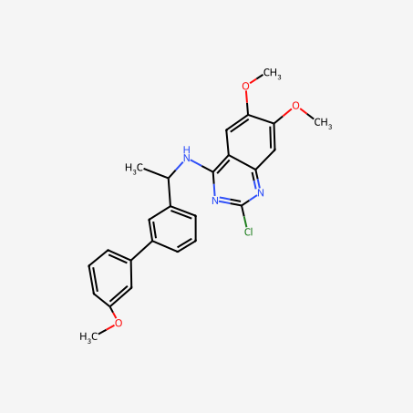 COc1cccc(-c2cccc(C(C)Nc3nc(Cl)nc4cc(OC)c(OC)cc34)c2)c1